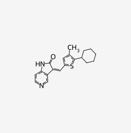 Cc1cc(C=C2C(=O)Nc3ccncc32)sc1C1CCCCC1